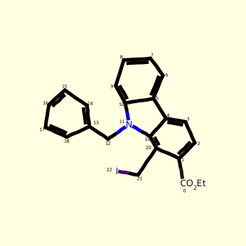 CCOC(=O)c1ccc2c3ccccc3n(Cc3ccccc3)c2c1CI